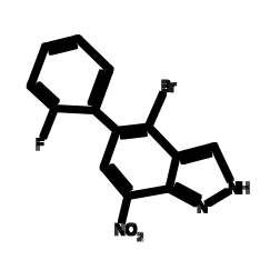 O=[N+]([O-])c1cc(-c2ccccc2F)c(Br)c2c[nH]nc12